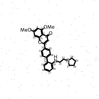 COc1cc(OC)c2c(=O)cc(-c3ccc(-c4ccccc4NCCN4CCCC4)cc3)oc2c1